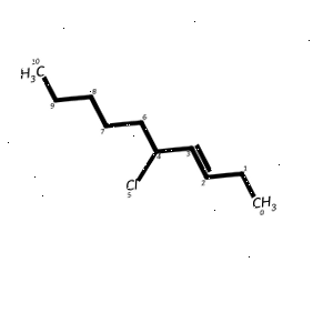 CC/C=C/C(Cl)CCCCC